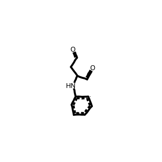 O=CCC(C=O)Nc1[c]cccc1